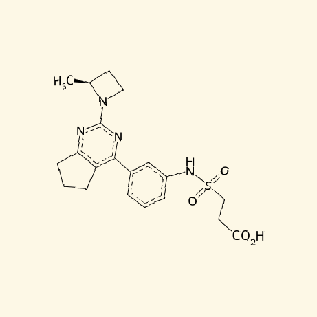 C[C@H]1CCN1c1nc2c(c(-c3cccc(NS(=O)(=O)CCC(=O)O)c3)n1)CCC2